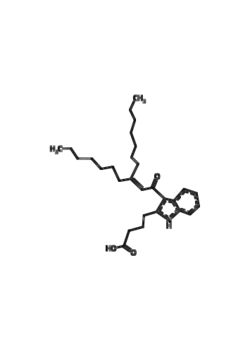 CCCCCCCC(=CC(=O)c1c(CCCC(=O)O)[nH]c2ccccc12)CCCCCCC